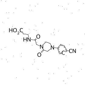 N#Cc1ccc(N2CCN(CC(=O)NCCC(=O)O)C(=O)C2)cc1